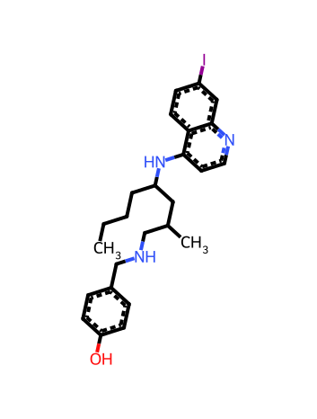 CCCCC(CC(C)CNCc1ccc(O)cc1)Nc1ccnc2cc(I)ccc12